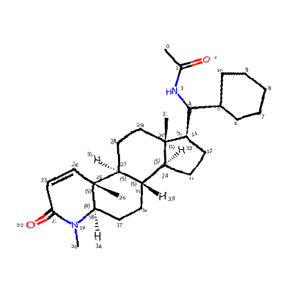 CC(=O)NC(C1CCCCC1)[C@H]1CC[C@H]2[C@@H]3CC[C@H]4N(C)C(=O)C=C[C@]4(C)[C@H]3CC[C@]12C